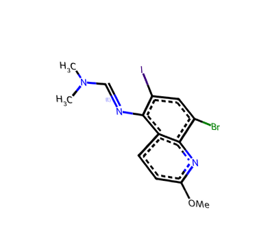 COc1ccc2c(/N=C/N(C)C)c(I)cc(Br)c2n1